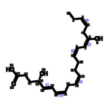 CC/C=C\C/C(O)=C\C=C/CC/C=C\C/C=C\C=C\[C@@H](O)CCC(=O)O